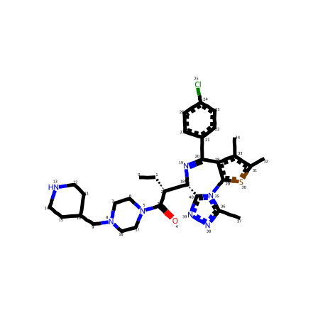 CC[C@@H](C(=O)N1CCN(CC2CCNCC2)CC1)[C@@H]1N=C(c2ccc(Cl)cc2)c2c(sc(C)c2C)-n2c(C)nnc21